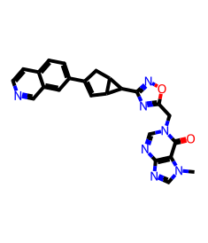 Cn1cnc2ncn(Cc3nc(C4C5C=C(c6ccc7ccncc7c6)CC54)no3)c(=O)c21